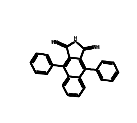 N=C1NC(=N)c2c1c(-c1ccccc1)c1ccccc1c2-c1ccccc1